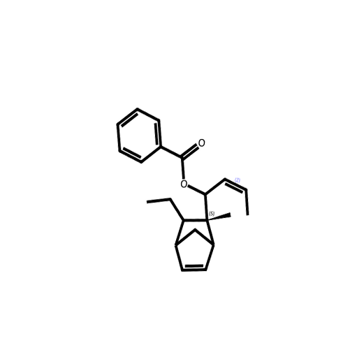 C/C=C\C(OC(=O)c1ccccc1)[C@]1(C)C2C=CC(C2)C1CC